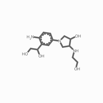 Nc1ccc(N2CC(O)C(NCCO)C2)cc1C(O)CO